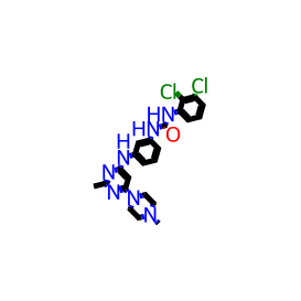 Cc1nc(Nc2cccc(NC(=O)Nc3cccc(Cl)c3Cl)c2)cc(N2CCN(C)CC2)n1